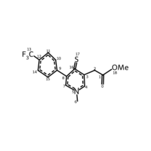 C=C(Cc1cn(C)cc(-c2ccc(C(F)(F)F)cc2)c1=S)OC